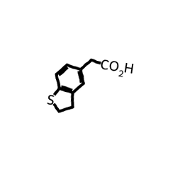 O=C(O)Cc1ccc2c(c1)CCS2